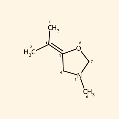 CC(C)=C1CN(C)CO1